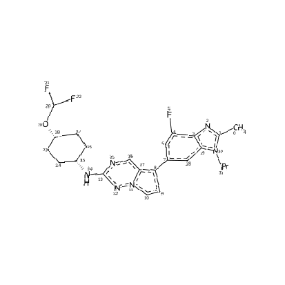 Cc1nc2c(F)cc(-c3ccn4nc(N[C@H]5CC[C@@H](OC(F)F)CC5)ncc34)cc2n1C(C)C